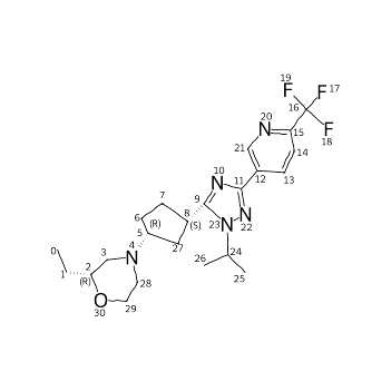 CC[C@@H]1CN([C@@H]2CC[C@H](c3nc(-c4ccc(C(F)(F)F)nc4)nn3C(C)C)C2)CCO1